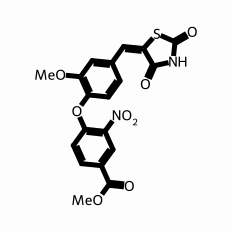 COC(=O)c1ccc(Oc2ccc(C=C3SC(=O)NC3=O)cc2OC)c([N+](=O)[O-])c1